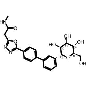 CNC(=O)Cc1nnc(-c2ccc(-c3cccc([C@H]4O[C@H](CO)[C@@H](O)[C@H](O)[C@@H]4O)c3)cc2)o1